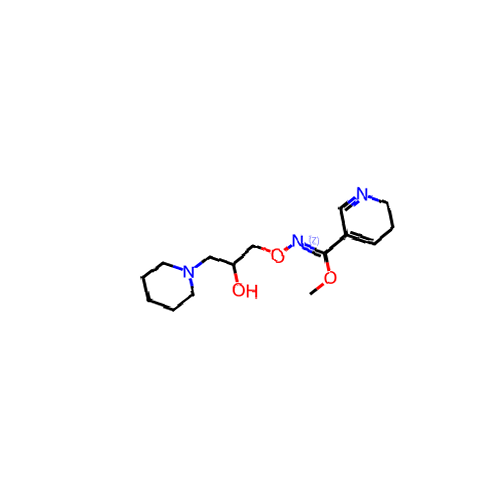 CO/C(=N\OCC(O)CN1CCCCC1)C1=CCCN=C1